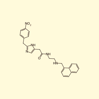 O=C(Cc1cnc(Cc2ccc([N+](=O)[O-])cc2)[nH]1)NCCNCc1cccc2ccccc12